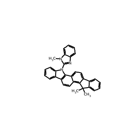 Cn1c(-n2c3ccccc3c3ccc4c5c(ccc4c32)-c2ccccc2C5(C)C)nc2ccccc21